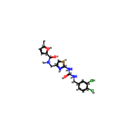 Cc1ccc(C(=O)N(C)Cc2csc(NC(=O)NCc3ccc(Cl)c(Cl)c3)n2)o1